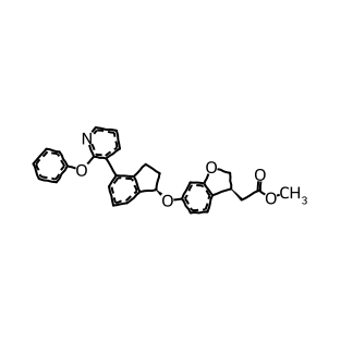 COC(=O)C[C@@H]1COc2cc(O[C@@H]3CCc4c(-c5cccnc5Oc5ccccc5)cccc43)ccc21